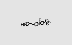 O=[N+]([O-])c1ccc(N2CCC(CCC3CCNCC3)CC2)c(F)c1